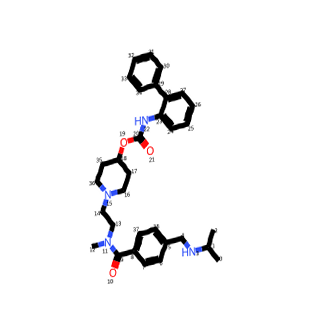 CC(C)NCc1ccc(C(=O)N(C)CCN2CCC(OC(=O)Nc3ccccc3-c3ccccc3)CC2)cc1